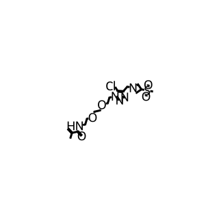 C=C(C)C(=O)NCCOCCOCCn1nnc(CN2CC(S(C)(=O)=O)C2)c1Cl